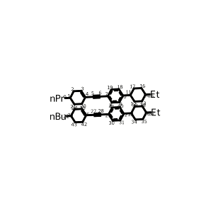 CCCC1CC=C(C#Cc2ccc(C3CCC(CC)CC3)cc2)CC1.CCCCC1CC=C(C#Cc2ccc(C3CCC(CC)CC3)cc2)CC1